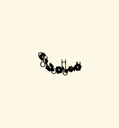 O=C(Nc1ccc(OC2CCN(C(=O)CN3CCOCC3)CC2)cc1)C1CN(c2cccnc2)C1